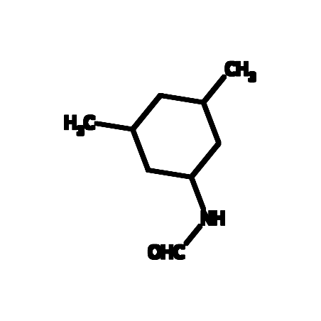 CC1CC(C)CC(NC=O)C1